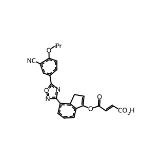 CC(C)Oc1ccc(-c2nc(-c3cccc4c3CC=C4OC(=O)/C=C/C(=O)O)no2)cc1C#N